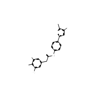 Cc1oc(-c2ccc(NC(=O)Cc3cc(O)c(O)c([N+](=O)[O-])c3)cc2)cc1C(=O)O